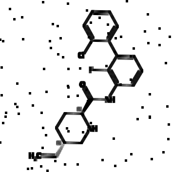 C=C[C@@H]1CC[C@@H](C(=O)Nc2cccc(-c3ccccc3Cl)c2F)NC1